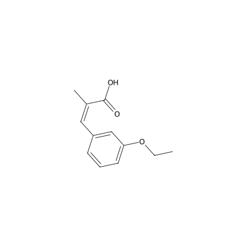 CCOc1cccc(C=C(C)C(=O)O)c1